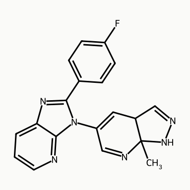 CC12N=CC(n3c(-c4ccc(F)cc4)nc4cccnc43)=CC1C=NN2